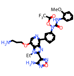 CCn1c(-c2nonc2N)nc2c(-c3cccc(N(OC(=O)C(F)(F)F)C(=O)Nc4ccccc4OC)c3)ncc(OCCCN)c21